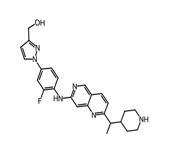 CC(c1ccc2cnc(Nc3ccc(-n4ccc(CO)n4)cc3F)cc2n1)C1CCNCC1